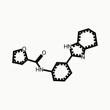 O=C(Nc1cccc(-c2nc3ccccc3[nH]2)c1)c1ccco1